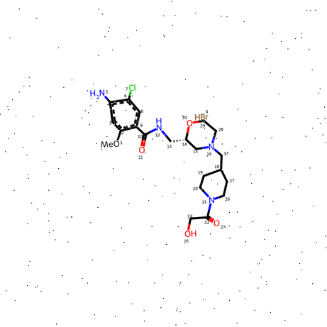 Br.COc1cc(N)c(Cl)cc1C(=O)NC[C@H]1CN(CC2CCN(C(=O)CO)CC2)CCO1